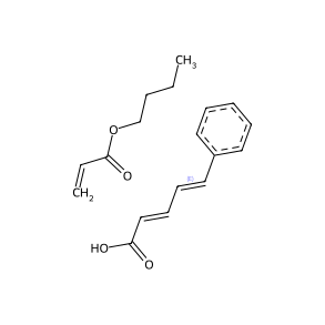 C=CC(=O)OCCCC.O=C(O)C=C/C=C/c1ccccc1